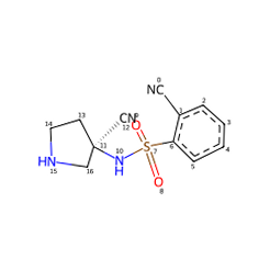 N#Cc1ccccc1S(=O)(=O)N[C@]1(C#N)CCNC1